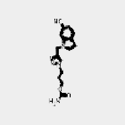 N#Cc1ccc2ccn(Cc3cn(CCCOC(N)=O)nn3)c2c1